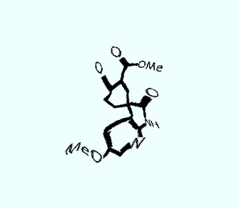 COC(=O)C1CC2(CCC1=O)C(=O)Nc1ncc(OC)cc12